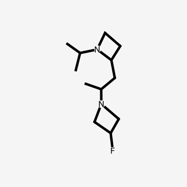 CC(CC1CCN1C(C)C)N1CC(F)C1